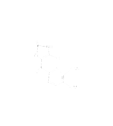 COc1ccc(C(=O)c2[nH]c(=O)[nH]c2C)cc1OC